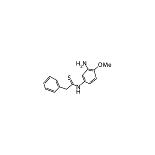 COc1ccc(NC(=S)Cc2ccccc2)cc1N